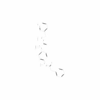 O=C(Cc1ccccc1)Nc1ccc(NC(=O)NCc2cccnc2)cc1